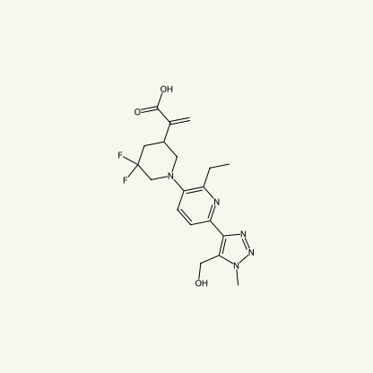 C=C(C(=O)O)C1CN(c2ccc(-c3nnn(C)c3CO)nc2CC)CC(F)(F)C1